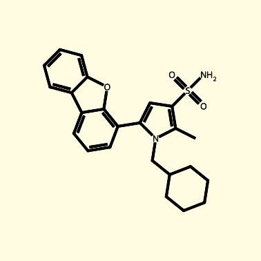 Cc1c(S(N)(=O)=O)cc(-c2cccc3c2oc2ccccc23)n1CC1CCCCC1